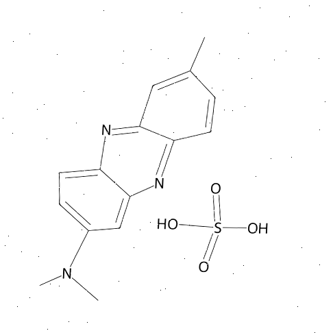 Cc1ccc2nc3cc(N(C)C)ccc3nc2c1.O=S(=O)(O)O